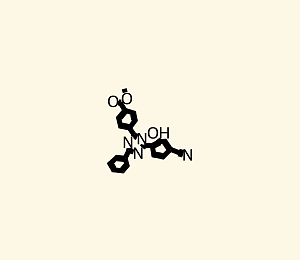 COC(=O)c1ccc(-c2nc(-c3ccccc3)nc(-c3ccc(C#N)cc3O)n2)cc1